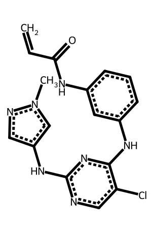 C=CC(=O)Nc1cccc(Nc2nc(Nc3cnn(C)c3)ncc2Cl)c1